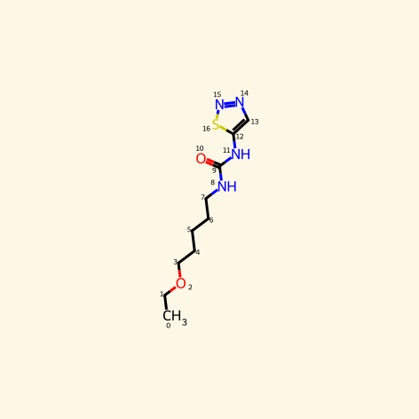 CCOCCCCCNC(=O)Nc1cnns1